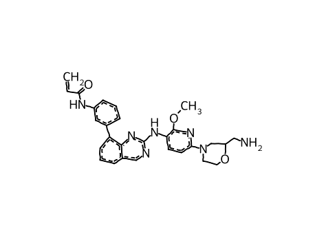 C=CC(=O)Nc1cccc(-c2cccc3cnc(Nc4ccc(N5CCOC(CN)C5)nc4OC)nc23)c1